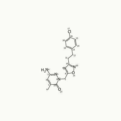 Cc1cc(N)nn(Cc2nc(CCc3ccc(Cl)cc3)no2)c1=O